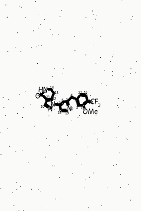 COc1cc(Cc2cc(-n3ncc4c3CCNC4=O)ccn2)ccc1C(F)(F)F